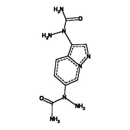 NC(=O)N(N)c1ccc2c(N(N)C(N)=O)cnn2c1